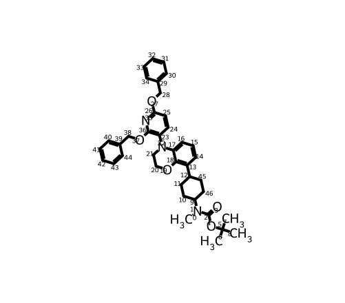 CN(C(=O)OC(C)(C)C)C1CCC(c2cccc3c2OCCN3c2ccc(OCc3ccccc3)nc2OCc2ccccc2)CC1